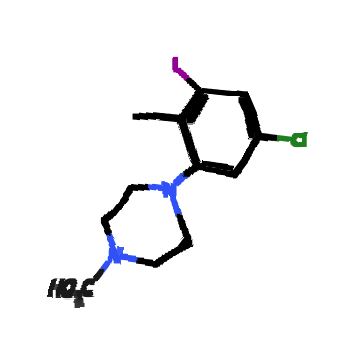 Cc1c(I)cc(Cl)cc1N1CCN(C(=O)O)CC1